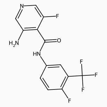 Nc1cncc(F)c1C(=O)Nc1ccc(F)c(C(F)(F)F)c1